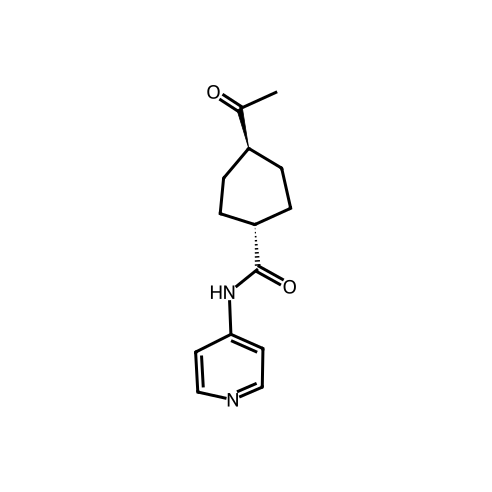 CC(=O)[C@H]1CC[C@H](C(=O)Nc2ccncc2)CC1